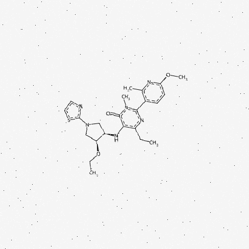 CCO[C@H]1CN(c2nccs2)C[C@H]1Nc1c(CC)nc(-c2ccc(OC)nc2C)n(C)c1=O